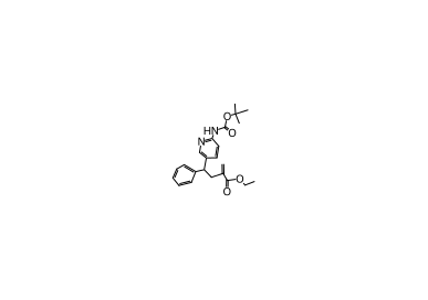 C=C(CC(c1ccccc1)c1ccc(NC(=O)OC(C)(C)C)nc1)C(=O)OCC